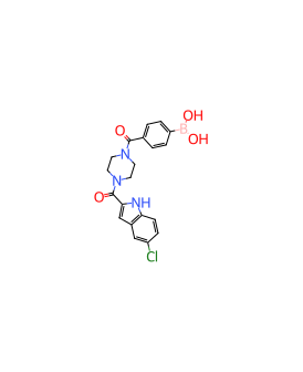 O=C(c1ccc(B(O)O)cc1)N1CCN(C(=O)c2cc3cc(Cl)ccc3[nH]2)CC1